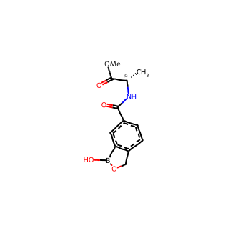 COC(=O)[C@H](C)NC(=O)c1ccc2c(c1)B(O)OC2